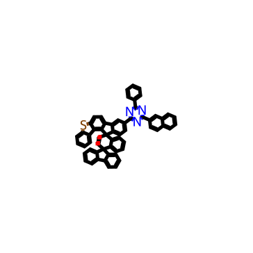 c1ccc(-c2nc(-c3ccc4c(c3)-c3ccc5sc6ccccc6c5c3C43c4ccccc4C4(c5ccccc5-c5ccccc54)c4ccccc43)nc(-c3ccc4ccccc4c3)n2)cc1